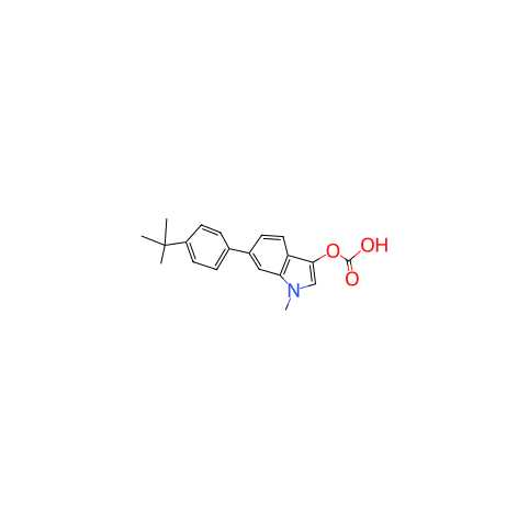 Cn1cc(OC(=O)O)c2ccc(-c3ccc(C(C)(C)C)cc3)cc21